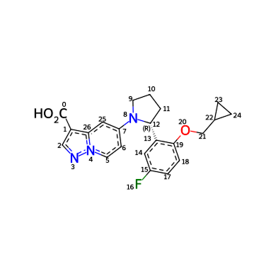 O=C(O)c1cnn2ccc(N3CCC[C@@H]3c3cc(F)ccc3OCC3CC3)cc12